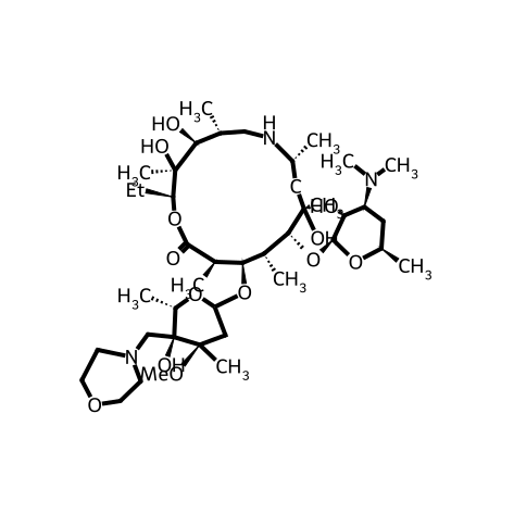 CC[C@@H]1OC(=O)[C@H](C)[C@H](OC2C[C@@](C)(OC)[C@](O)(CN3CCOCC3)[C@H](C)O2)[C@@H](C)[C@@H](O[C@@H]2O[C@H](C)C[C@H](N(C)C)[C@H]2O)[C@](C)(O)C[C@@H](C)NC[C@@H](C)[C@H](O)[C@]1(C)O